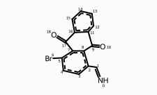 N=Cc1ccc(Br)c2c1C(=O)c1ccccc1C2=O